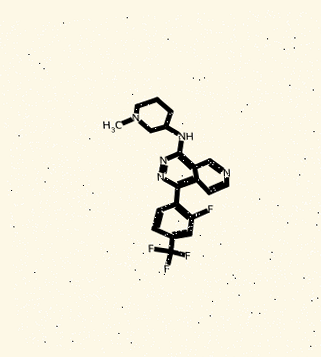 CN1CCCC(Nc2nnc(-c3ccc(C(F)(F)F)cc3F)c3ccncc23)C1